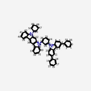 c1ccc(-c2ccc3c(c2)c2cc(-c4ccccc4)ccc2n3-c2cccc(-n3c4ccccc4c4cc5c6ccccc6n(-c6ccccc6)c5cc43)c2)cc1